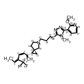 C=C(/C=C\C(=C/C)C(F)(F)F)[C@H]1C[C@]12CCN(CCCSc1nnc(-c3cccnc3OC)n1C)C2